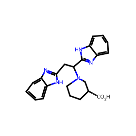 O=C(O)C1CCCN(C(Cc2nc3ccccc3[nH]2)c2nc3ccccc3[nH]2)C1